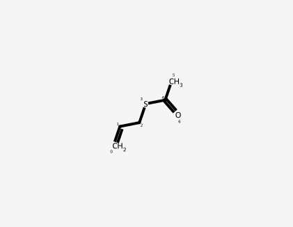 C=CCSC(C)=O